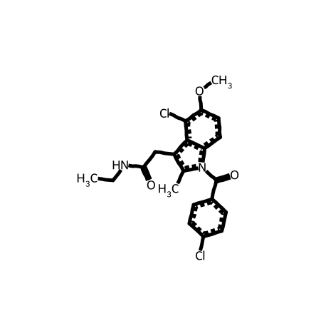 CCNC(=O)Cc1c(C)n(C(=O)c2ccc(Cl)cc2)c2ccc(OC)c(Cl)c12